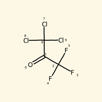 O=C(C(F)(F)F)C(Cl)(Cl)Cl